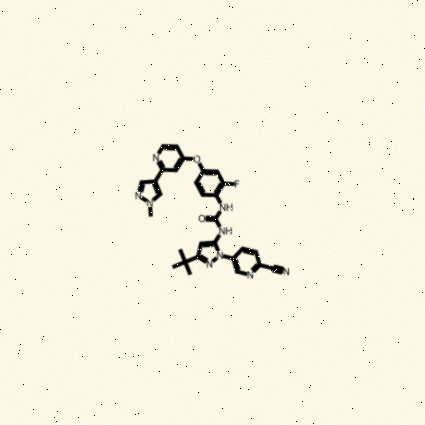 Cn1cc(-c2cc(Oc3ccc(NC(=O)Nc4cc(C(C)(C)C)nn4-c4ccc(C#N)nc4)c(F)c3)ccn2)cn1